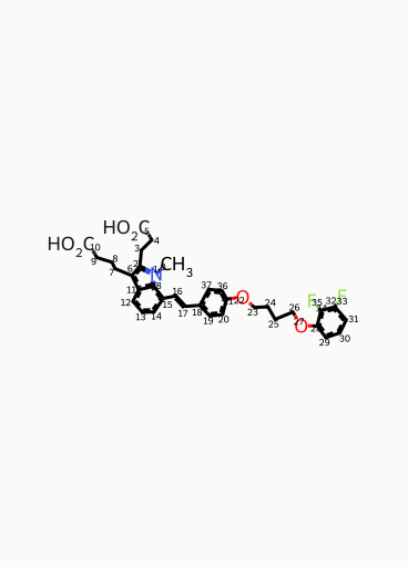 Cn1c(CCC(=O)O)c(CCCC(=O)O)c2cccc(C=Cc3ccc(OCCCCOc4cccc(F)c4F)cc3)c21